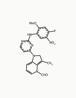 COc1cc(F)c([N+](=O)[O-])cc1Nc1nccc(N2CC(C)=C3C2=CC=CN3C=O)n1